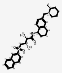 C[C@H]1CCCCN1Cc1ccc2c(c1)CCC[C@H]2NC(=O)[C@H](O)[C@H](O)CS(=O)(=O)c1ccc2ccccc2c1